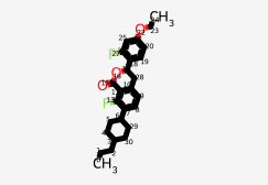 CCCC1CCC(c2ccc3c(c2F)C(=O)OC(c2ccc(OCC)cc2F)C3)CC1